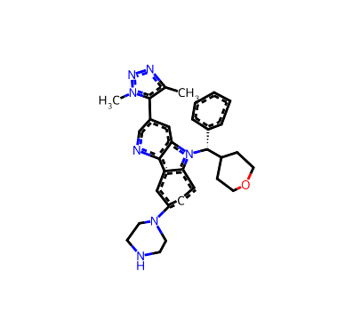 Cc1nnn(C)c1-c1cnc2c3cc(N4CCNCC4)ccc3n([C@H](c3ccccc3)C3CCOCC3)c2c1